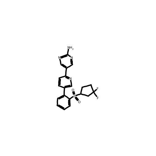 Nc1ncc(-c2ccc(-c3ccccc3S(=O)(=O)C3CCC(F)(F)C3)cn2)cn1